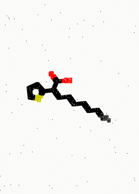 C=CC=CC=CC=C(C(=O)O)c1cccs1